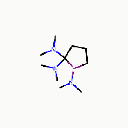 CN(C)P1CCCC1(N(C)C)N(C)C